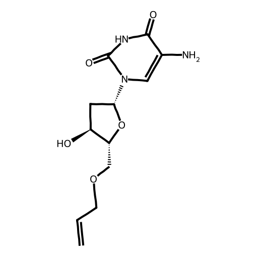 C=CCOC[C@H]1O[C@@H](n2cc(N)c(=O)[nH]c2=O)C[C@@H]1O